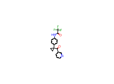 O=C(Nc1ccc(C2(C(=O)c3cccnc3)CC2)cc1)C(F)(F)F